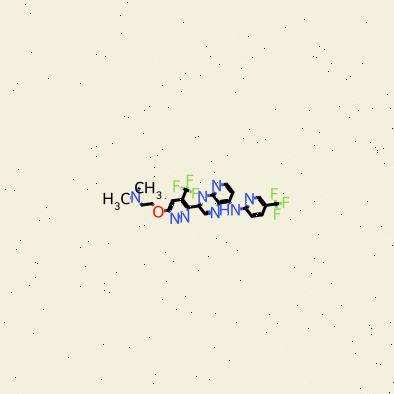 CN(C)CCOc1cc(C(F)(F)F)c(-c2cnc3c(Nc4ccc(C(F)(F)F)cn4)ccnc3n2)nn1